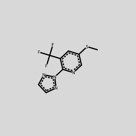 CSc1cnc(-n2nccn2)c(C(F)(F)F)c1